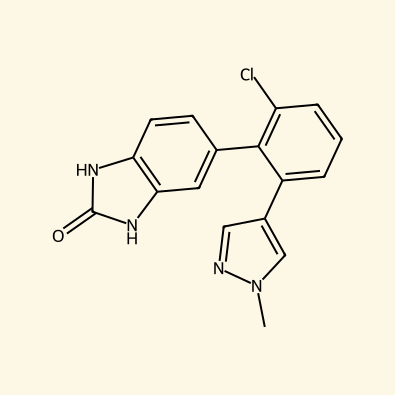 Cn1cc(-c2cccc(Cl)c2-c2ccc3[nH]c(=O)[nH]c3c2)cn1